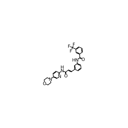 O=C(/C=C/c1cccc(NC(=O)c2cccc(C(F)(F)F)c2)c1)Nc1ccc(N2CCOCC2)cn1